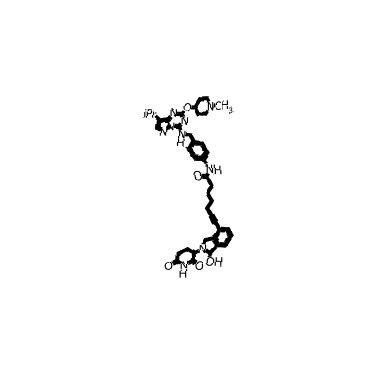 CC(C)c1cnn2c(NCc3ccc(NC(=O)CCCCC#Cc4cccc5c4CN(C4CCC(=O)NC4=O)C5O)cc3)nc(OC3CCN(C)CC3)nc12